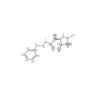 CC1C[C@H](NC(=O)CCCc2ccccc2)C(=O)N1